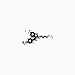 CCCCCOC(=O)C1(c2ccc(C)cc2)OC1c1ccc(C)cc1